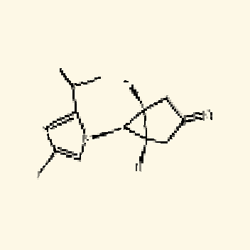 CC(C)c1nc(I)cn1[C@H]1[C@@H]2CC(=O)C[C@@H]21